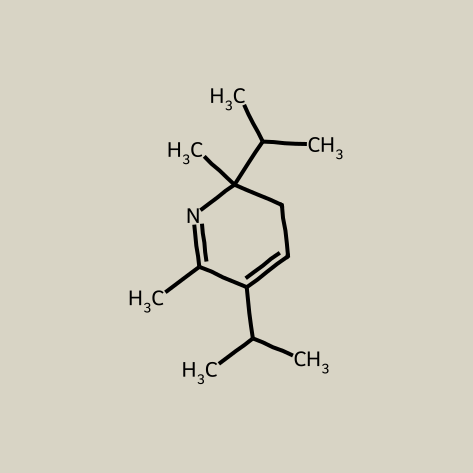 CC1=NC(C)(C(C)C)CC=C1C(C)C